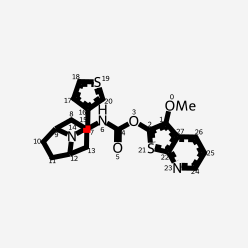 COc1c(OC(=O)NC2CC3CCC(C2)N3Cc2ccsc2)sc2ncccc12